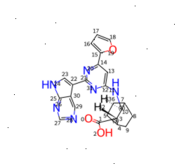 O=C(O)[C@H]1C2CCC(CC2)[C@@H]1Nc1cc(-c2ccco2)nc(-c2c[nH]c3ncncc23)n1